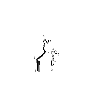 C=C[CH2][Pd+].O=[N+]([O-])[O-]